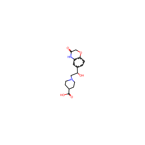 O=C1COc2ccc([C@@H](O)CN3CCC(C(=O)O)CC3)cc2N1